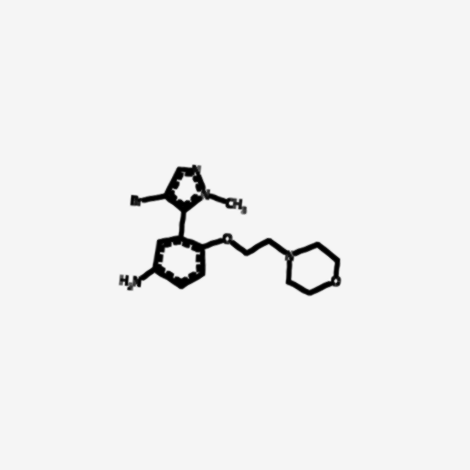 Cn1ncc(Br)c1-c1cc(N)ccc1OCCN1CCOCC1